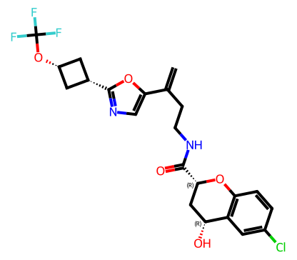 C=C(CCNC(=O)[C@H]1C[C@@H](O)c2cc(Cl)ccc2O1)c1cnc([C@H]2C[C@@H](OC(F)(F)F)C2)o1